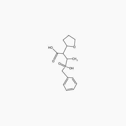 CC(C(C(=O)O)C1CCCO1)P(=O)(O)Cc1ccccc1